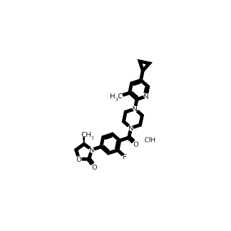 Cc1cc(C2CC2)cnc1N1CCN(C(=O)c2ccc(N3C(=O)OC[C@H]3C)cc2F)CC1.Cl